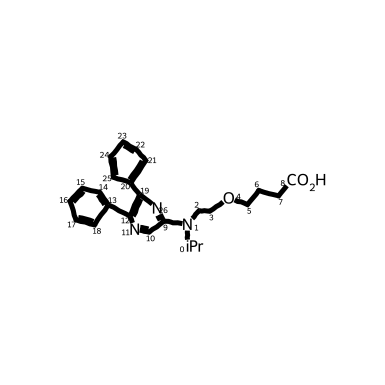 CC(C)N(CCOCCCC(=O)O)c1cnc(-c2ccccc2)c(-c2ccccc2)n1